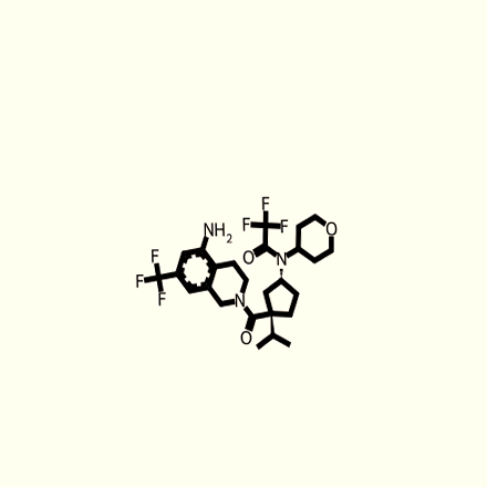 CC(C)[C@]1(C(=O)N2CCc3c(N)cc(C(F)(F)F)cc3C2)CC[C@@H](N(C(=O)C(F)(F)F)C2CCOCC2)C1